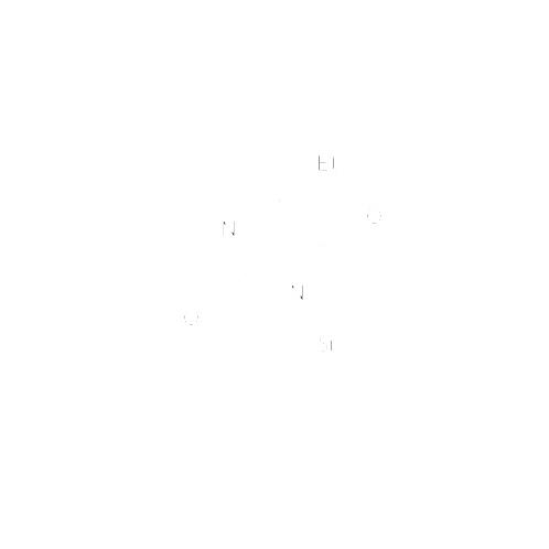 CCC1(c2ccccc2)C(=O)N([Si](c2ccccc2)(c2ccccc2)c2ccccc2)C(=O)N1c1ccccc1